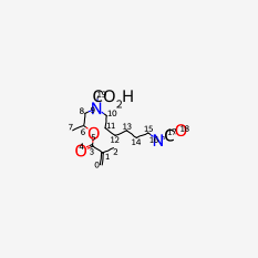 C=C(C)C(=O)OC(C)CN(CCCCCCN=C=O)C(=O)O